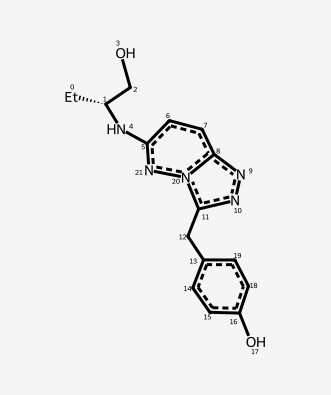 CC[C@H](CO)Nc1ccc2nnc(Cc3ccc(O)cc3)n2n1